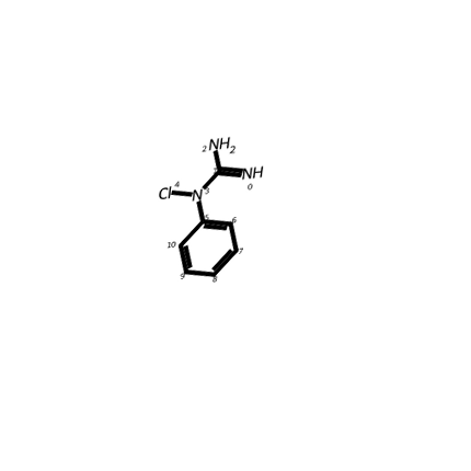 N=C(N)N(Cl)c1ccccc1